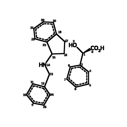 O=C(O)[C@H](O)c1ccccc1.c1ccc(CNC2CCc3ccccc32)cc1